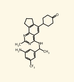 Cc1nc(NC(C)c2cc(N)cc(C(F)(F)F)c2)c2cc(C3CCC(=O)CC3)c3c(c2n1)CCC3